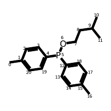 Cc1ccc(P(OCCC(C)C)c2ccc(C)cc2)cc1